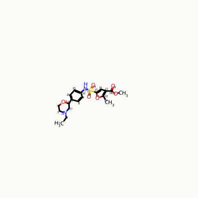 CCN1CCOC(c2ccc(NS(=O)(=O)c3cc(C(=O)OC)c(C)o3)cc2)C1